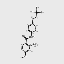 COc1ccc(C(=O)Nc2ccc(OCC(F)(F)F)cc2)c(N)n1